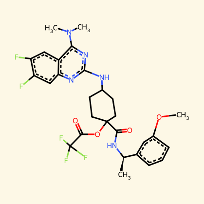 COc1cccc([C@@H](C)NC(=O)C2(OC(=O)C(F)(F)F)CCC(Nc3nc(N(C)C)c4cc(F)c(F)cc4n3)CC2)c1